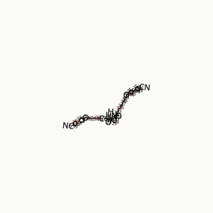 N#Cc1ccc(-c2ccc(OCCCCCCCCCCC(=O)NC3CCCCC3NC(=O)CCCCCCCCCCOc3ccc(-c4ccc(C#N)cc4)cc3)cc2)cc1